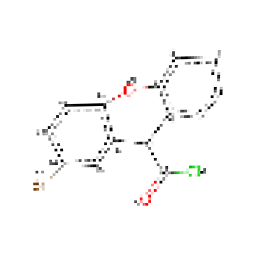 O=C(Cl)C1c2ccccc2Oc2ccc(Br)cc21